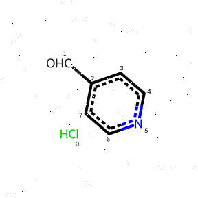 Cl.O=Cc1ccncc1